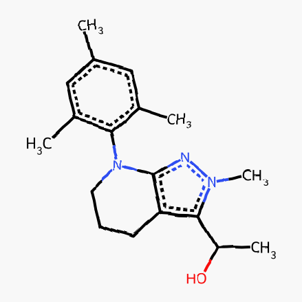 Cc1cc(C)c(N2CCCc3c2nn(C)c3C(C)O)c(C)c1